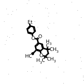 C#Cc1cc(C(=O)Oc2ccc(CC)cc2)cc2c1OC(C)(C)CC2(C)C